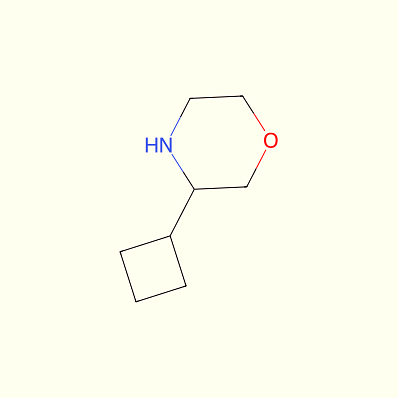 C1CC(C2COCCN2)C1